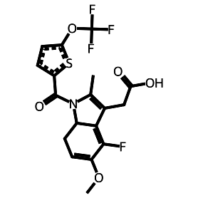 COC1=CCC2C(=C1F)C(CC(=O)O)=C(C)N2C(=O)c1ccc(OC(F)(F)F)s1